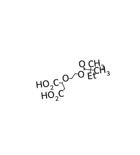 CCC(C)(C)C(=O)OCCOC(CC(=O)O)C(=O)O